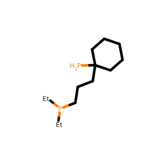 CCP(CC)CCCC1(P)CCCCC1